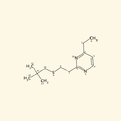 CCc1ccnc(CCSCC(C)(C)C)n1